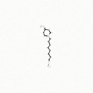 CC(=O)CCCCCCCCCN1CCC(C(C)C)CC1